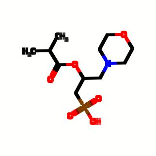 CC(C)C(=O)OC(CN1CCOCC1)CS(=O)(=O)O